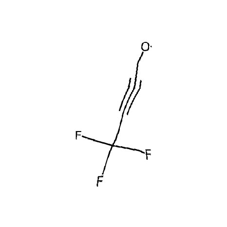 [O]C#CC(F)(F)F